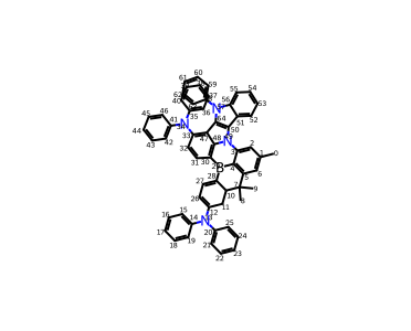 Cc1cc2c3c(c1)C(C)(C)C1CC(N(c4ccccc4)c4ccccc4)=CC=C1B3c1ccc(N(c3ccccc3)c3ccccc3)c3c1n-2c1c2ccccc2n(-c2ccccc2)c31